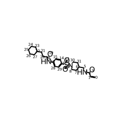 C=CC(=O)NCC1CCN(S(=O)(=O)c2ccc(NC(=O)CCC3CCCCC3)cc2)CC1